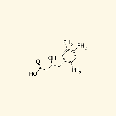 O=C(O)C[C@@H](O)Cc1cc(P)c(P)cc1P